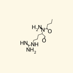 CCCC(=O)N(N)C(C=O)CCCNC(=N)N